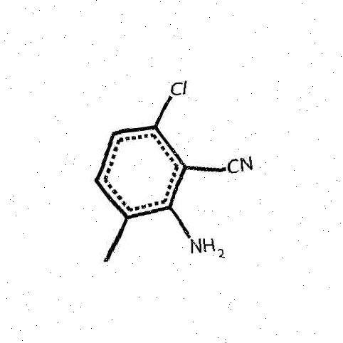 Cc1ccc(Cl)c(C#N)c1N